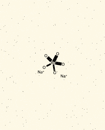 [Na+].[Na+].[O]=[Ru](=[O])(=[O])([O-])[O-]